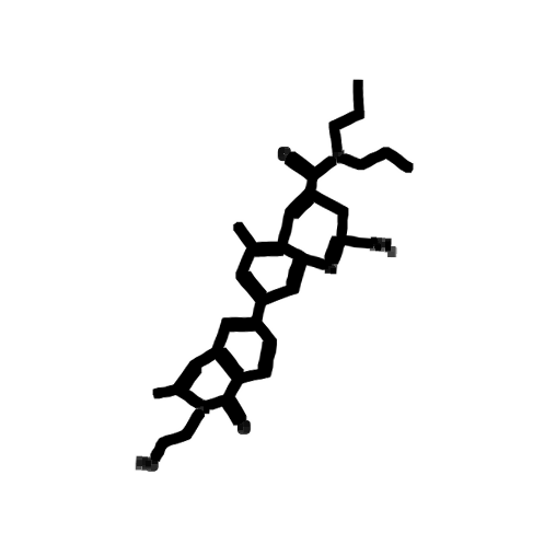 CCCN(CCC)C(=O)C1=Cc2c(C)cc(-c3ccc4c(=O)n(CCO)c(C)cc4c3)cc2N=C(N)C1